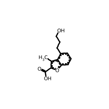 Cc1c(C(=O)O)oc2cccc(CCCO)c12